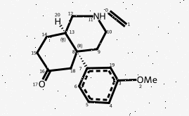 C=C.COc1cccc([C@@]23CCNC[C@@H]2CCC(=O)C3)c1